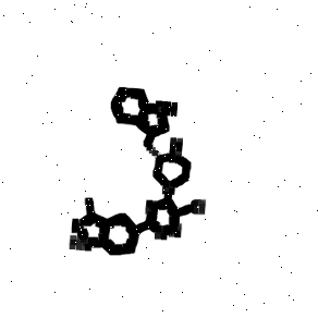 Cc1n[nH]c2ccc(-c3nnc(Cl)c(N4CCN[C@@H](Cc5c[nH]c6ccccc56)C4)n3)cc12